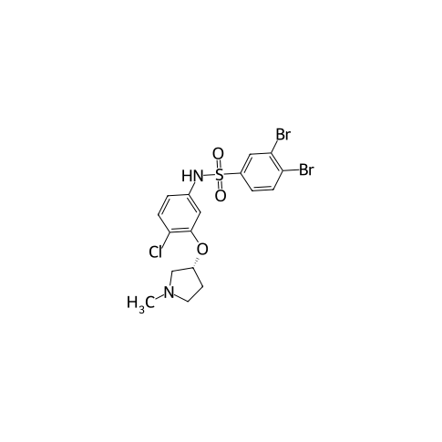 CN1CC[C@@H](Oc2cc(NS(=O)(=O)c3ccc(Br)c(Br)c3)ccc2Cl)C1